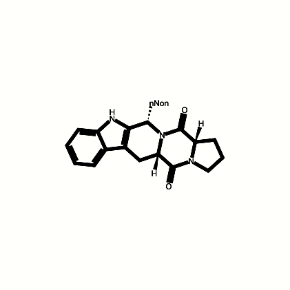 CCCCCCCCC[C@H]1c2[nH]c3ccccc3c2C[C@H]2C(=O)N3CCC[C@H]3C(=O)N21